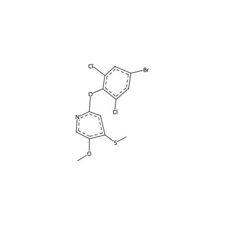 COc1cnc(Oc2c(Cl)cc(Br)cc2Cl)cc1SC